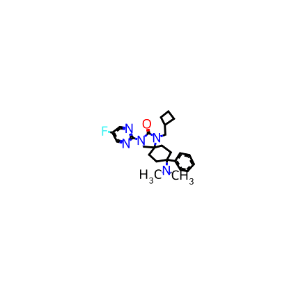 CN(C)C1(c2ccccc2)CCC2(CC1)CN(c1ncc(F)cn1)C(=O)N2CC1CCC1